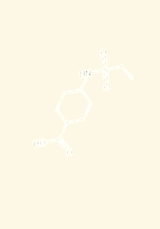 CCS(=O)(=O)NC1CCC(C(=O)O)CC1